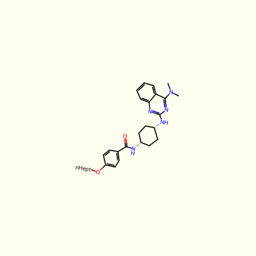 CCCCCCCOc1ccc(C(=O)N[C@H]2CC[C@@H](Nc3nc(N(C)C)c4ccccc4n3)CC2)cc1